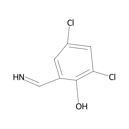 N=Cc1cc(Cl)cc(Cl)c1O